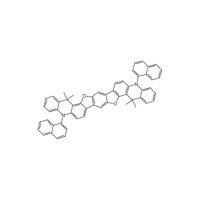 CC1(C)c2ccccc2N(c2cccc3ccccc23)c2ccc3c(oc4cc5c(cc43)oc3c4c(ccc35)N(c3cccc5ccccc35)c3ccccc3C4(C)C)c21